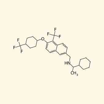 CC(NCc1ccc2c(C(F)(F)F)c(OC3CCC(C(F)(F)F)CC3)ccc2c1)C1CCCCC1